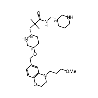 COCCCN1CCOc2ccc(CO[C@@H]3CC[C@@H](CC(C)(C)C(=O)NC[C@H]4CCCNC4)NC3)cc21